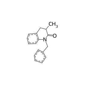 CC1Cc2ccccc2N(Cc2ccccc2)C1=O